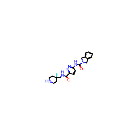 O=C(NCC1(F)CCNCC1)c1ccc(NC(=O)N2Cc3ccccc3C2)nn1